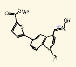 COC(=O)c1ccc(-c2ccc3c(c2)c(/C=N/O)cn3C(C)C)s1